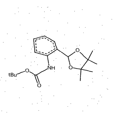 CC(C)(C)OC(=O)Nc1ccccc1C1OC(C)(C)C(C)(C)O1